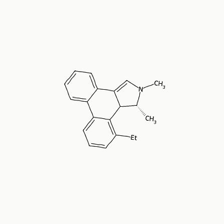 CCc1cccc2c1C1C(=CN(C)[C@@H]1C)c1ccccc1-2